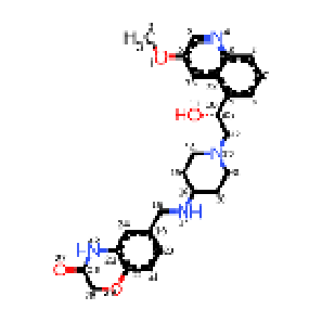 COc1cnc2cccc([C@@H](O)CN3CCC(NCc4ccc5c(c4)NC(=O)CO5)CC3)c2c1